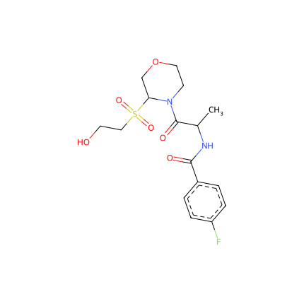 CC(NC(=O)c1ccc(F)cc1)C(=O)N1CCOCC1S(=O)(=O)CCO